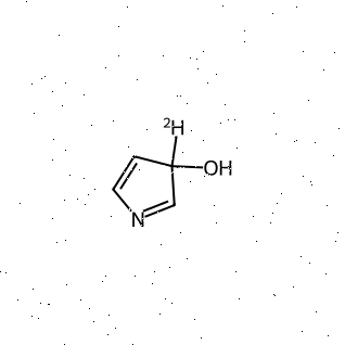 [2H]C1(O)C=CN=C1